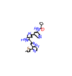 Cc1ccc(-c2nccc3[nH]c(-c4n[nH]c5cnc(-c6cncc(NC(=O)C7CCCC7)c6)cc45)cc23)s1